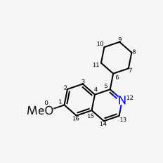 COc1ccc2c(C3CCCCC3)nccc2c1